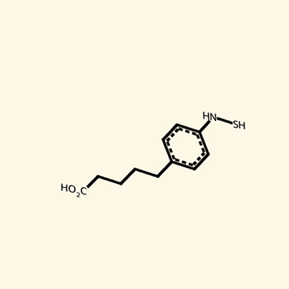 O=C(O)CCCCc1ccc(NS)cc1